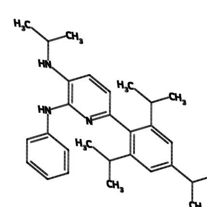 CC(C)Nc1ccc(-c2c(C(C)C)cc(C(C)C)cc2C(C)C)nc1Nc1ccccc1